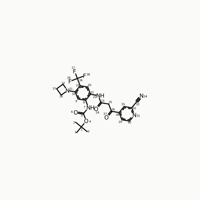 CC(C)(C)OC(=O)Nc1cc(N2CCC2)c(C(F)(F)F)cc1NC(=O)CC(=O)c1ccnc(C#N)c1